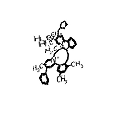 C=C1C[n+]2cc(C)c(-c3ccccc3)cc2-c2cc(C)cc(C)c2CCC2c3ccccc3-c3cc(CC4CCCC4)c([Si](C)(C)C)c[n+]3C12